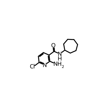 Nc1nc(Cl)ccc1C(=O)NC1CCCCCC1